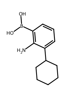 Nc1c(B(O)O)cccc1C1CCCCC1